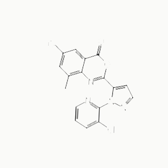 Cc1cc(Cl)cc2c(=O)oc(-c3ccnn3-c3ncccc3Cl)nc12